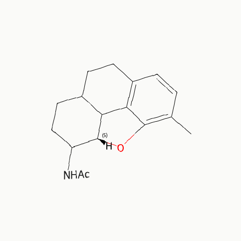 CC(=O)NC1CCC2CCc3ccc(C)c4c3C2[C@@H]1O4